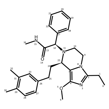 CCc1nc(OC)c2n1CCN([C@@H](C(=O)NC)c1ccccc1)[C@@H]2CCc1ccc(C)c(C)c1